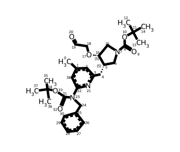 Cc1cc(C[C@H]2CN(C(=O)OC(C)(C)C)C[C@H]2OCC=O)nc(N(Cc2ccccc2)C(=O)OC(C)(C)C)c1